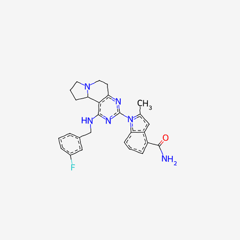 Cc1cc2c(C(N)=O)cccc2n1-c1nc2c(c(NCc3cccc(F)c3)n1)C1CCCN1CC2